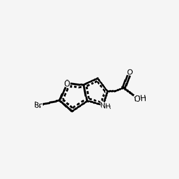 O=C(O)c1cc2oc(Br)cc2[nH]1